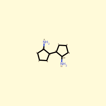 NC1CCCC1C1CCCC1N